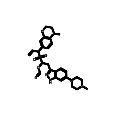 C=CC(c1ccc2c(c1)OCCN2C)S(=O)(=O)C(Cc1n[nH]c2cc(N3CCN(C)CC3)ccc12)OC=O